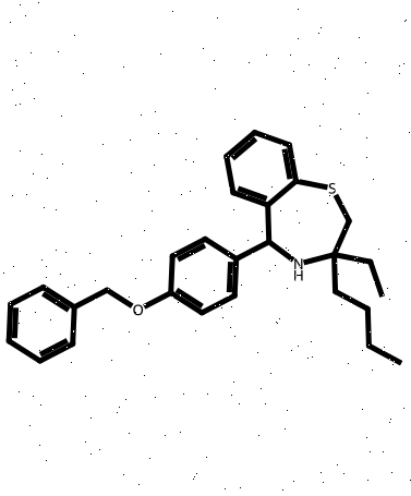 CCCCC1(CC)CSc2ccccc2C(c2ccc(OCc3ccccc3)cc2)N1